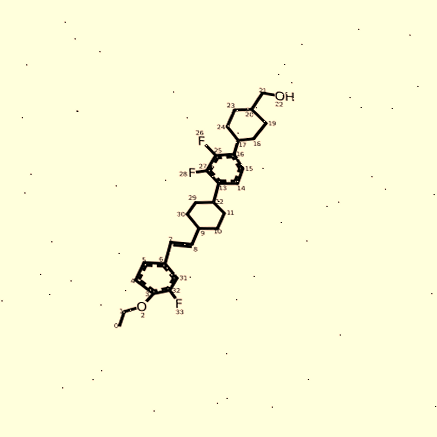 CCOc1ccc(/C=C/C2CCC(c3ccc(C4CCC(CO)CC4)c(F)c3F)CC2)cc1F